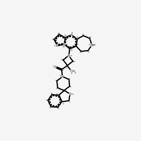 CC1(C(=O)N2CCC3(CC2)OCc2ccccc23)CN(c2c3c(nc4ccnn24)CCNCC3)C1